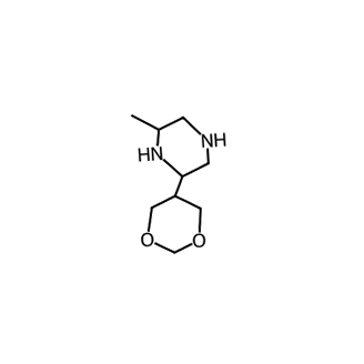 CC1CNCC(C2COCOC2)N1